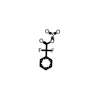 O=C(O[SH](=O)=O)C(F)(F)c1ccccc1